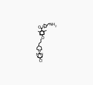 Cc1cc(OCCCC2CCN(c3ncc(Cl)cn3)CC2)cc(C)c1C(=O)N1CC(CN)C1